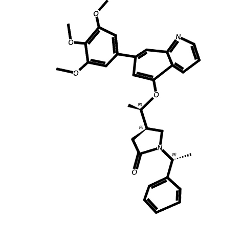 COc1cc(-c2cc(O[C@H](C)[C@@H]3CC(=O)N([C@H](C)c4ccccc4)C3)c3cccnc3c2)cc(OC)c1OC